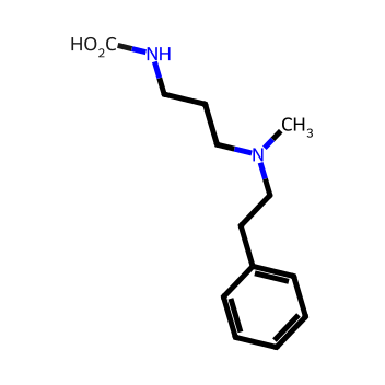 CN(CCCNC(=O)O)CCc1ccccc1